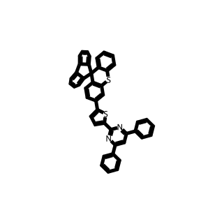 c1ccc(-c2cc(-c3ccccc3)nc(-c3ccc(-c4ccc5c(c4)Sc4ccccc4C54c5ccccc5-c5ccccc54)s3)n2)cc1